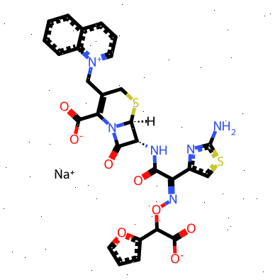 Nc1nc(/C(=N/OC(C(=O)[O-])c2ccco2)C(=O)N[C@@H]2C(=O)N3C(C(=O)[O-])=C(C[n+]4cccc5ccccc54)CS[C@@H]23)cs1.[Na+]